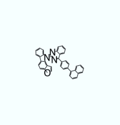 c1ccc2c(-c3ccc(-c4nc(-n5c6ccccc6c6ccc7occc7c65)nc5ccccc45)cc3)cccc2c1